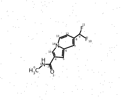 CNC(=O)c1cc2cc(C(F)F)ccn2c1